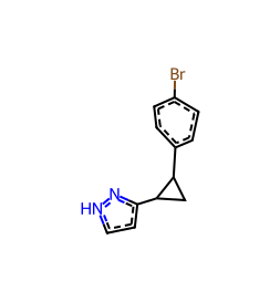 Brc1ccc(C2CC2c2cc[nH]n2)cc1